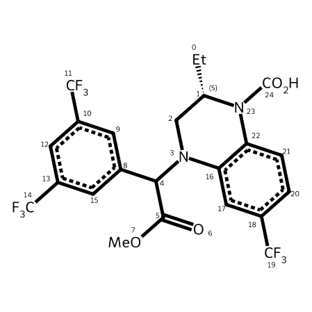 CC[C@H]1CN(C(C(=O)OC)c2cc(C(F)(F)F)cc(C(F)(F)F)c2)c2cc(C(F)(F)F)ccc2N1C(=O)O